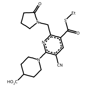 CCSC(=O)c1cc(C#N)c(N2CCC(C(=O)O)CC2)nc1CN1CCCC1=O